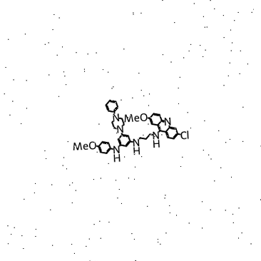 COc1ccc(Nc2cc(NCCCNc3c4ccc(Cl)cc4nc4ccc(OC)cc34)cc(N3CCN(c4ccccc4)CC3)c2)cc1